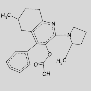 CC1CCc2nc(N3CCCC3C)c(OC(=O)O)c(-c3ccccc3)c2C1